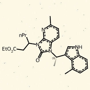 CCCC(CC(=O)OCC)n1c(=O)n([C@@H](C)c2c[nH]c3cccc(C)c23)c2ccc(C)nc21